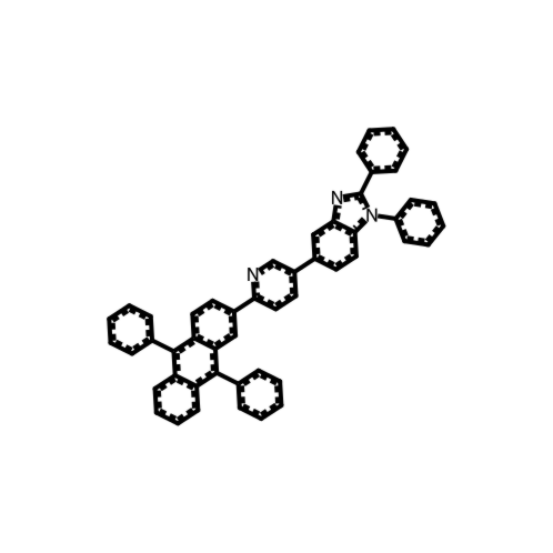 c1ccc(-c2c3ccccc3c(-c3ccccc3)c3cc(-c4ccc(-c5ccc6c(c5)nc(-c5ccccc5)n6-c5ccccc5)cn4)ccc23)cc1